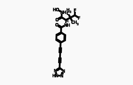 CC(C)(C(F)F)[C@H](NC(=O)c1ccc(C#CC#Cc2nn[nH]n2)cc1)C(=O)NO